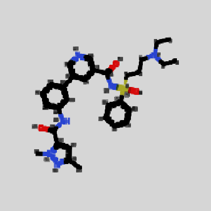 CCN(CC)CCC[S@@](=O)(=NC(=O)c1cncc(-c2cccc(NC(=O)c3cc(C)nn3C)c2)c1)c1ccccc1